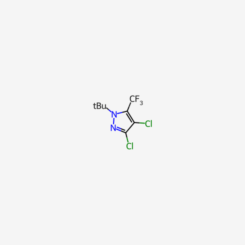 CC(C)(C)n1nc(Cl)c(Cl)c1C(F)(F)F